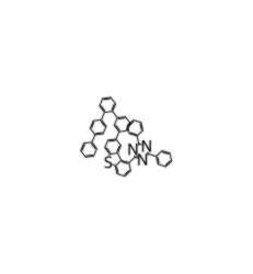 c1ccc(-c2ccc(-c3ccccc3-c3cccc(-c4ccc5sc6cccc(-c7nc(-c8ccccc8)nc(-c8ccccc8)n7)c6c5c4)c3)cc2)cc1